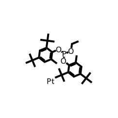 CCOP(Oc1c(C)cc(C(C)(C)C)cc1C(C)(C)C)Oc1c(C)cc(C(C)(C)C)cc1C(C)(C)C.[Pt]